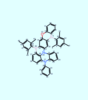 Cc1cc(C)c(B2c3ccccc3Oc3cc4c(cc32)N2c3ccccc3N(c3ccccc3)c3cccc(c32)B4c2c(C)cc(C)cc2C)c(C)c1